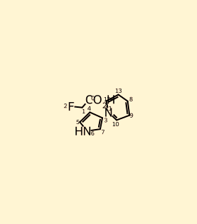 O=C(O)CF.c1cc[nH]c1.c1ccncc1